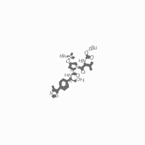 CC(C)=C(NC(=O)OC(C)(C)C)C(=O)N1CC(O[Si](C)(C)C(C)(C)C)C[C@H]1C(=O)N[C@@H](CO)c1ccc(-c2scnc2C)cc1